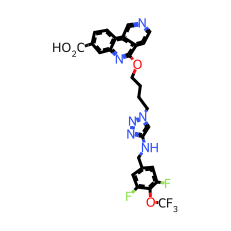 O=C(O)c1ccc2c(c1)nc(OCCCCn1cc(NCc3cc(F)c(OC(F)(F)F)c(F)c3)nn1)c1ccncc12